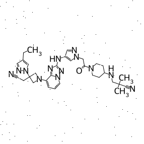 CCc1cnn(C2(CC#N)CN(c3cccn4nc(Nc5cnn(CC(=O)N6CCC(NCC(C)(C)C#N)CC6)c5)nc34)C2)c1